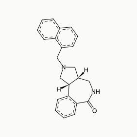 O=C1NC[C@H]2CN(Cc3cccc4ccccc34)C[C@H]2c2ccccc21